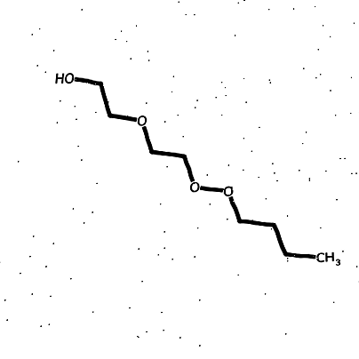 CCCCOOCCOCCO